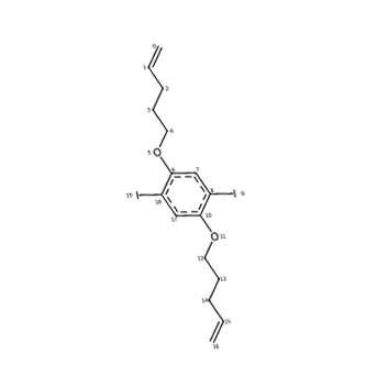 C=CCCCOc1cc(I)c(OCCCC=C)cc1I